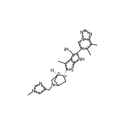 Cc1c(-c2[nH]c3sc([C@@H]4CC5C[C@H]4CN5Cc4cn(C)cn4)c(C)c3c2C(C)C)cn2ncnc2c1C